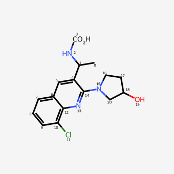 CC(NC(=O)O)c1cc2cccc(Cl)c2nc1N1CCC(O)C1